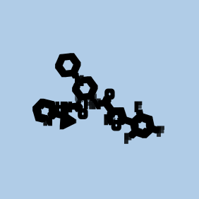 O=C(N[C@@H]1CCN(C2CCCCC2)C[C@H]1C(=O)NC1(c2ccccn2)CC1)c1cc(-c2c(F)cc(F)cc2F)on1